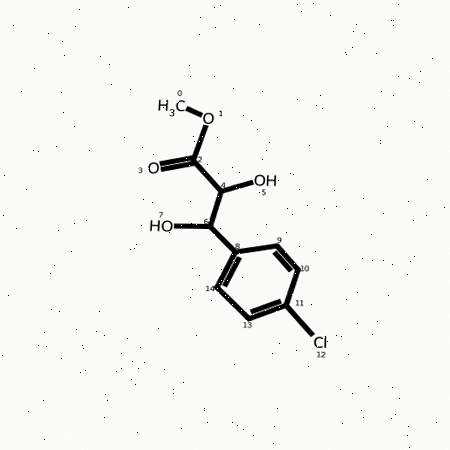 COC(=O)C(O)C(O)c1ccc(Cl)cc1